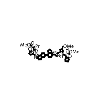 COCC1CC(c2ncc(-c3ccc(-c4ccc5c(ccc6nc(C7CCC(C)N7C(=O)C(NC(=O)OC)C(C)C)[nH]c65)c4)c4c3CCC4)[nH]2)N(C(=O)C(NC(=O)OC)c2ccccc2)C1